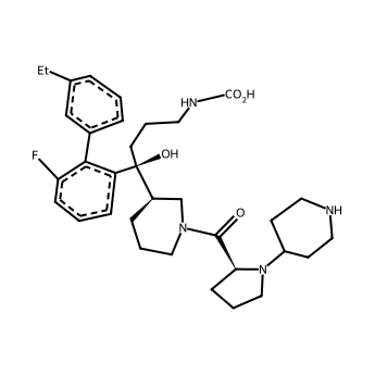 CCc1cccc(-c2c(F)cccc2[C@](O)(CCCNC(=O)O)[C@@H]2CCCN(C(=O)[C@@H]3CCCN3C3CCNCC3)C2)c1